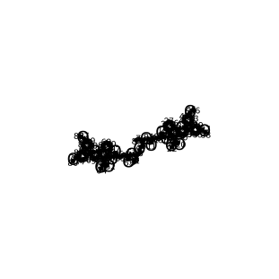 CCC(COCC(CC)OC(=O)CCC(=O)Oc1c(C(=O)OC)c2c(c3ccccc13)OC(c1ccc(OC)cc1)(c1ccc(OC)cc1)C=C2)OC(=O)CCC(=O)Oc1c(C(=O)OC)c2c(c3ccccc13)OC(c1ccc(OC)cc1)(c1ccc(OC)cc1)C=C2